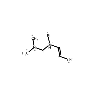 CCCC=C[SiH](CC)CN(C)C